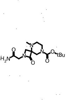 CN1CCN(C(=O)OC(C)(C)C)CC12CN(CC(N)=O)C2=O